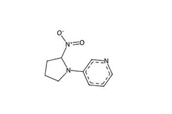 O=[N+]([O-])C1CCCN1c1cccnc1